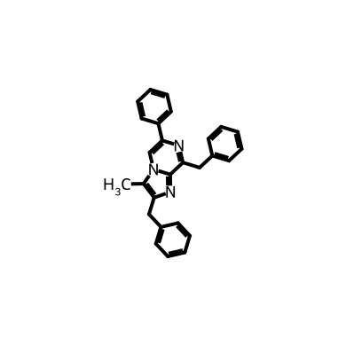 Cc1c(Cc2ccccc2)nc2c(Cc3ccccc3)nc(-c3ccccc3)cn12